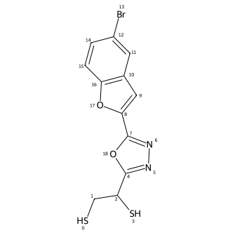 SCC(S)c1nnc(-c2cc3cc(Br)ccc3o2)o1